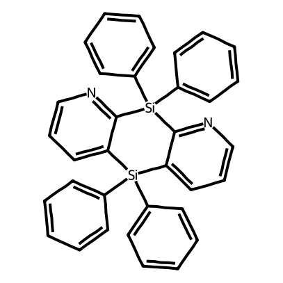 c1ccc([Si]2(c3ccccc3)c3cccnc3[Si](c3ccccc3)(c3ccccc3)c3ncccc32)cc1